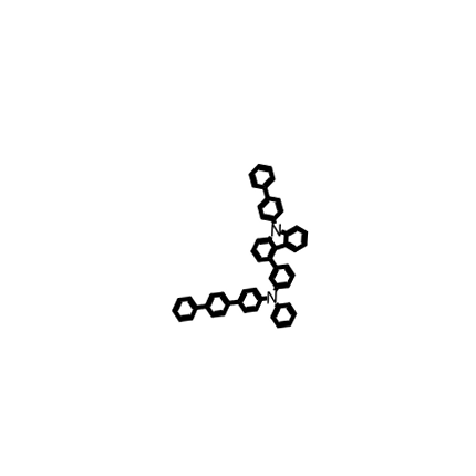 c1ccc(-c2ccc(-c3ccc(N(c4ccccc4)c4cccc(-c5cccc6c5c5ccccc5n6-c5ccc(-c6ccccc6)cc5)c4)cc3)cc2)cc1